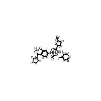 Cc1cc(NC(=O)[C@@H](Cc2ccncc2)NC(=O)c2ccc(Br)s2)ccc1C(=O)N1CCCC1